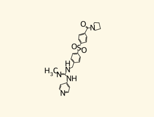 C/N=C(\NCc1ccc(S(=O)(=O)c2ccc(C(=O)N3CCCC3)cc2)cc1)Nc1ccncc1